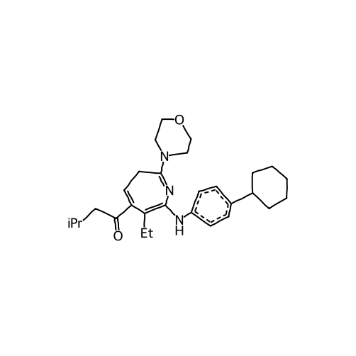 CCC1=C(Nc2ccc(C3CCCCC3)cc2)N=C(N2CCOCC2)CC=C1C(=O)CC(C)C